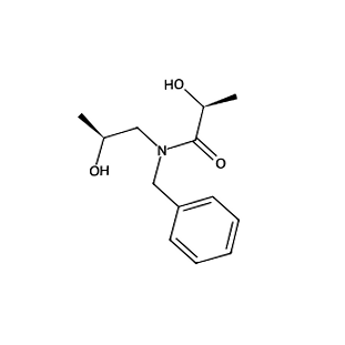 C[C@H](O)CN(Cc1ccccc1)C(=O)[C@H](C)O